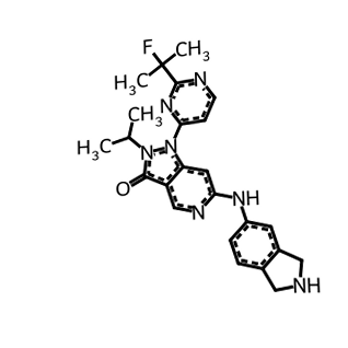 CC(C)n1c(=O)c2cnc(Nc3ccc4c(c3)CNC4)cc2n1-c1ccnc(C(C)(C)F)n1